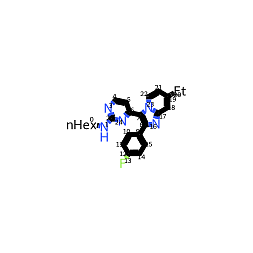 CCCCCCNc1nccc(-c2c(-c3ccc(F)cc3)nc3cc(CC)ccn23)n1